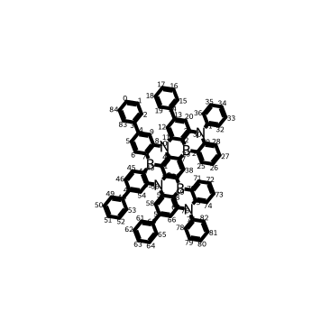 c1ccc(-c2ccc3c(c2)N2c4cc(-c5ccccc5)cc5c4B(c4ccccc4N5c4ccccc4)c4cc5c6c(c42)B3c2ccc(-c3ccccc3)cc2N6c2cc(-c3ccccc3)cc3c2B5c2ccccc2N3c2ccccc2)cc1